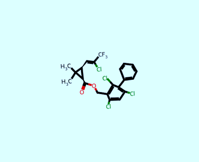 CC1(C)[C@H](C(=O)OCc2c(Cl)cc(Cl)c(-c3ccccc3)c2Cl)[C@@H]1C=C(Cl)C(F)(F)F